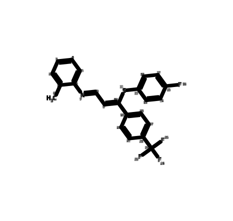 Cc1ccccc1N=CC=C(Sc1ccc(F)cc1)c1ccc(C(F)(F)F)cc1